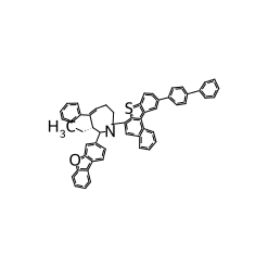 CC[C@@H]1/C(c2ccccc2)=C\CC/C(c2cc3ccccc3c3c2sc2ccc(-c4ccc(-c5ccccc5)cc4)cc23)=N\C1c1ccc2c(c1)oc1ccccc12